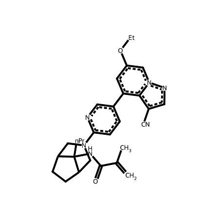 C=C(C)C(=O)NC1(CCC)C2CCC1CN(c1ccc(-c3cc(OCC)cn4ncc(C#N)c34)cn1)C2